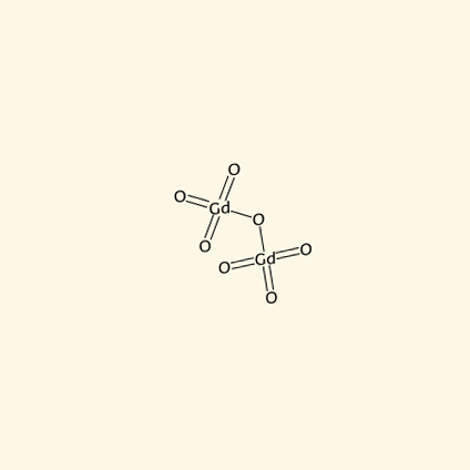 [O]=[Gd](=[O])(=[O])[O][Gd](=[O])(=[O])=[O]